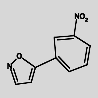 O=[N+]([O-])c1cccc(-c2ccno2)c1